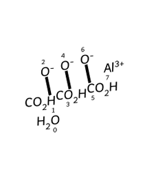 O.O=C([O-])O.O=C([O-])O.O=C([O-])O.[Al+3]